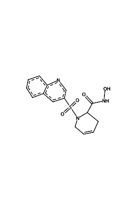 O=C(NO)C1CC=CCN1S(=O)(=O)c1cnc2ccccc2c1